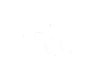 CCS(=O)(O)(O)Cc1ccc(F)cc1